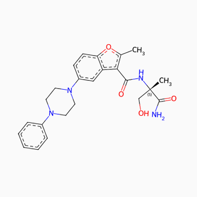 Cc1oc2ccc(N3CCN(c4ccccc4)CC3)cc2c1C(=O)N[C@@](C)(CO)C(N)=O